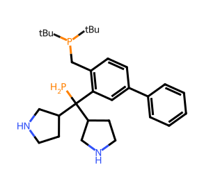 CC(C)(C)P(Cc1ccc(-c2ccccc2)cc1C(P)(C1CCNC1)C1CCNC1)C(C)(C)C